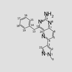 Cn1cc(-c2ccc3nc(N)nc(Cc4ccccc4)c3n2)cn1